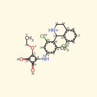 CCOc1c(Nc2cc(C)c(C3NCCc4cccc(Cl)c43)c(Cl)c2)c(=O)c1=O